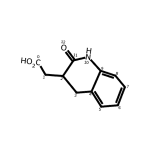 O=C(O)CC1Cc2ccccc2NC1=O